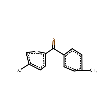 Cc1ccc(C(=S)c2ccc(C)cc2)cc1